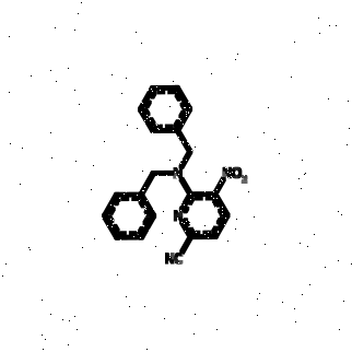 N#Cc1ccc([N+](=O)[O-])c(N(Cc2ccccc2)Cc2ccccc2)n1